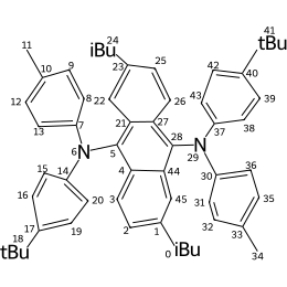 CCC(C)c1ccc2c(N(c3ccc(C)cc3)c3ccc(C(C)(C)C)cc3)c3cc(C(C)CC)ccc3c(N(c3ccc(C)cc3)c3ccc(C(C)(C)C)cc3)c2c1